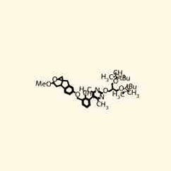 COC(=O)CC1c2ccc(OCc3cccc(-c4c(C)nc(OCC(CO[Si](C)(C)C(C)(C)C)CO[Si](C)(C)C(C)(C)C)nc4C)c3C)cc2CC12CC2